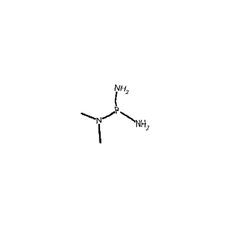 CN(C)P(N)N